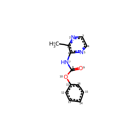 Cc1nccnc1NC(=O)Oc1ccccc1